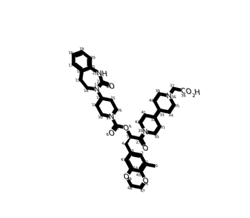 Cc1cc(C[C@@H](OC(=O)N2CCC(N3CCc4ccccc4NC3=O)CC2)C(=O)N2CCC(C3CCN(CC(=O)O)CC3)CC2)cc2c1OCCO2